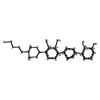 CCCCCC1OCC(c2ccc(-c3ccc(-c4cccc(F)c4F)cc3)c(F)c2F)CO1